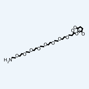 NCCOCCOCCOCCOCCOCCOCCOCCOCCC(=O)ON1C(=O)CCC1=O